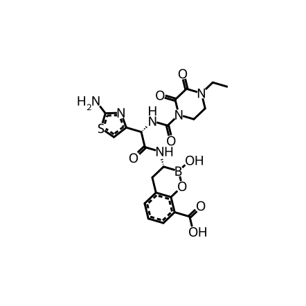 CCN1CCN(C(=O)N[C@H](C(=O)N[C@H]2Cc3cccc(C(=O)O)c3OB2O)c2csc(N)n2)C(=O)C1=O